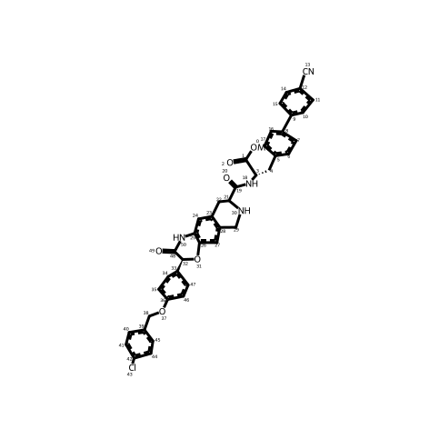 COC(=O)[C@H](Cc1ccc(-c2ccc(C#N)cc2)cc1)NC(=O)C1Cc2cc3c(cc2CN1)O[C@@H](c1ccc(OCc2ccc(Cl)cc2)cc1)C(=O)N3